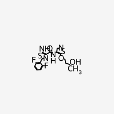 CC(O)CCOc1sncc1NC(=O)c1nc(-c2c(F)cccc2F)sc1N